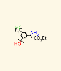 CCOC(=O)CC(N)c1cc(C(C)(C)O)cc(C(F)(F)F)c1.Cl